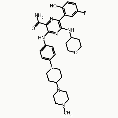 CN1CCN(C2CCN(c3ccc(Nc4nc(NC5CCOCC5)c(-c5cc(F)ccc5C#N)nc4C(N)=O)cc3)CC2)CC1